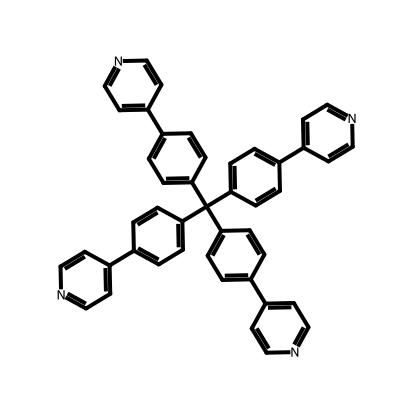 c1cc(-c2ccc(C(c3ccc(-c4ccncc4)cc3)(c3ccc(-c4ccncc4)cc3)c3ccc(-c4ccncc4)cc3)cc2)ccn1